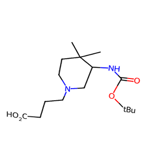 CC(C)(C)OC(=O)NC1CN(CCCC(=O)O)CCC1(C)C